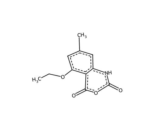 CCOc1cc(C)cc2[nH]c(=O)oc(=O)c12